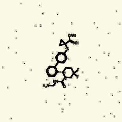 COC(=N)C1(Sc2ccc(-c3ccccc3[C@@H]3CCC(F)(F)C[C@H]3C(=O)NCN)cc2)CC1